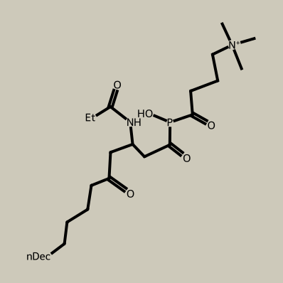 CCCCCCCCCCCCCCC(=O)CC(CC(=O)P(O)C(=O)CCC[N+](C)(C)C)NC(=O)CC